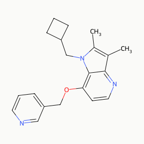 Cc1c(C)n(CC2CCC2)c2c(OCc3cccnc3)ccnc12